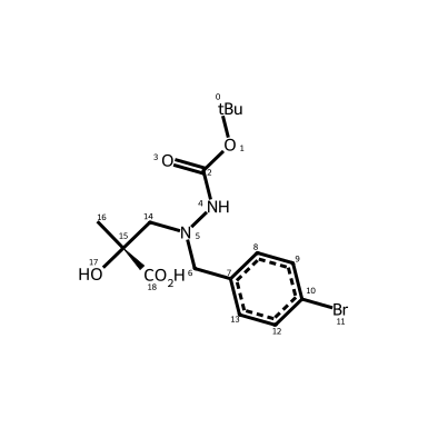 CC(C)(C)OC(=O)NN(Cc1ccc(Br)cc1)C[C@@](C)(O)C(=O)O